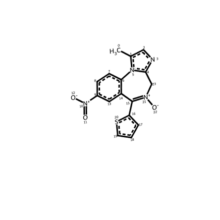 Cc1cnc2n1-c1ccc([N+](=O)[O-])cc1C(c1cccs1)=[N+]([O-])C2